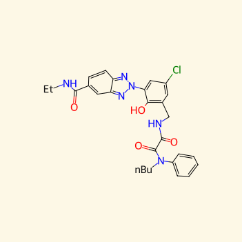 CCCCN(C(=O)C(=O)NCc1cc(Cl)cc(-n2nc3ccc(C(=O)NCC)cc3n2)c1O)c1ccccc1